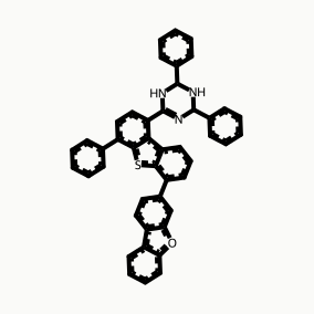 c1ccc(-c2ccc(C3=NC(c4ccccc4)NC(c4ccccc4)N3)c3c2sc2c(-c4ccc5c(c4)oc4ccccc45)cccc23)cc1